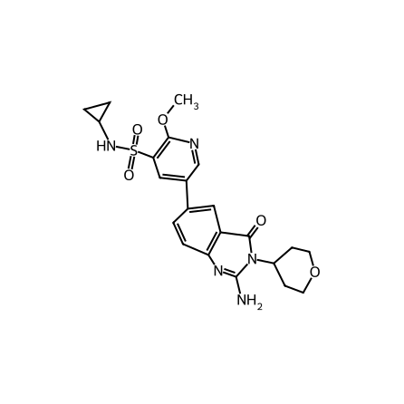 COc1ncc(-c2ccc3nc(N)n(C4CCOCC4)c(=O)c3c2)cc1S(=O)(=O)NC1CC1